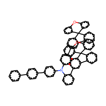 c1ccc(-c2ccc(-c3ccc(N(c4ccc(-c5ccc6c(c5)-c5ccccc5C65c6ccccc6Oc6ccccc65)cc4)c4ccccc4-c4ccc5c(c4)-c4ccccc4C54c5ccccc5Oc5ccccc54)cc3)cc2)cc1